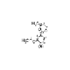 CCOc1cc([C@H]2OCC[C@@H](C)O2)ccc1O